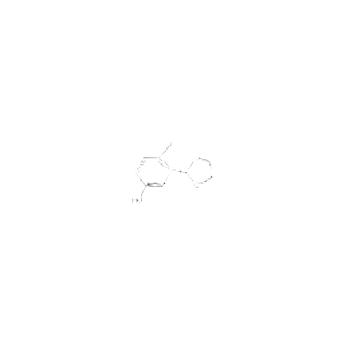 Oc1ccc(I)c(C2OCCO2)c1